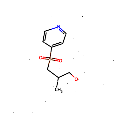 CC(C[O])CS(=O)(=O)c1ccncc1